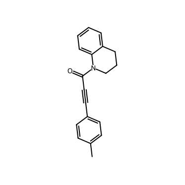 Cc1ccc(C#CC(=O)N2CCCc3ccccc32)cc1